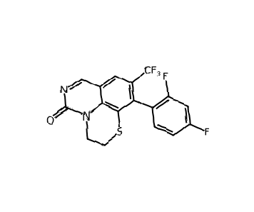 O=c1ncc2cc(C(F)(F)F)c(-c3ccc(F)cc3F)c3c2n1CCS3